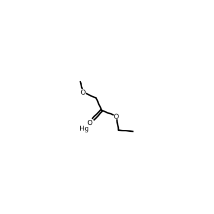 CCOC(=O)COC.[Hg]